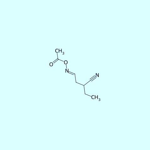 CCC(C#N)CC=NOC(C)=O